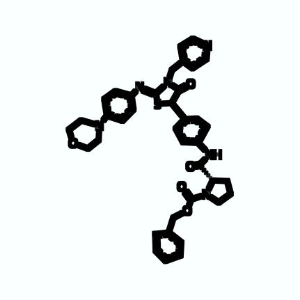 O=C(Nc1ccc(C2S/C(=N\c3ccc(N4CCOCC4)cc3)N(Cc3ccncc3)C2=O)cc1)[C@@H]1CCCN1C(=O)OCc1ccccc1